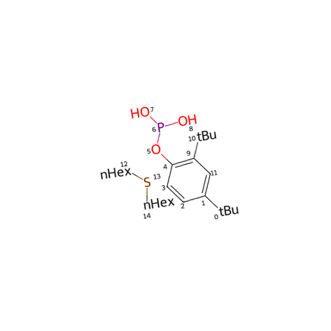 CC(C)(C)c1ccc(OP(O)O)c(C(C)(C)C)c1.CCCCCCSCCCCCC